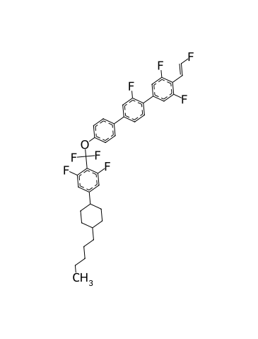 CCCCCC1CCC(c2cc(F)c(C(F)(F)Oc3ccc(-c4ccc(-c5cc(F)c(/C=C/F)c(F)c5)c(F)c4)cc3)c(F)c2)CC1